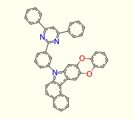 c1ccc(-c2cc(-c3ccccc3)nc(-c3cccc(-n4c5cc6c(cc5c5c7ccccc7ccc54)Oc4ccccc4O6)c3)n2)cc1